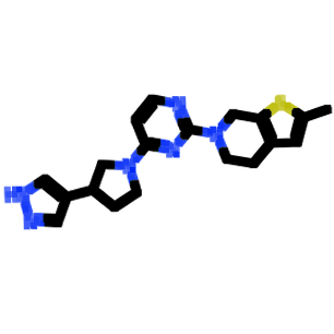 Cc1cc2c(s1)CN(c1nccc(N3CCC(c4cn[nH]c4)C3)n1)CC2